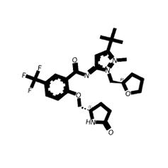 Cn1c(C(C)(C)C)cc(=NC(=O)c2cc(C(F)(F)F)ccc2OC[C@@H]2CCC(=O)N2)n1C[C@H]1CCCO1